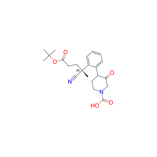 CC(C)(C)OC(=O)CC[C@@](C)(C#N)c1ccccc1C1CCN(C(=O)O)CC1=O